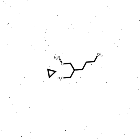 C1CC1.CCCCC(CC)CON